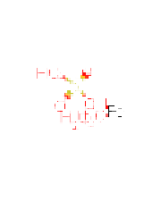 O.O.O=S(=O)(O)O.[Fe]